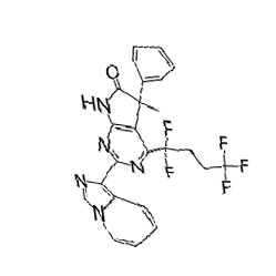 CC1(c2ccccc2)C(=O)Nc2nc(-c3ncn4ccccc34)nc(C(F)(F)CCC(F)(F)F)c21